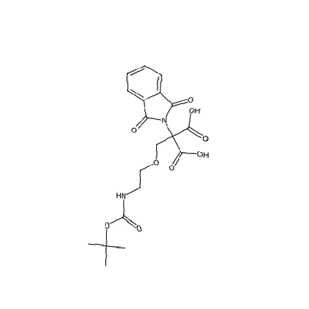 CC(C)(C)OC(=O)NCCOCC(C(=O)O)(C(=O)O)N1C(=O)c2ccccc2C1=O